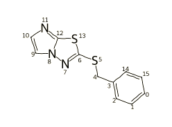 c1ccc(CSc2nn3ccnc3s2)cc1